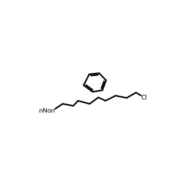 CCCCCCCCCCCCCCCCCCCl.c1ccccc1